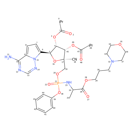 CC(C)C(=O)O[C@H]1[C@H](c2ccc3c(N)ncnn23)O[C@](C#N)(COP(=O)(NC(C)C(=O)OCCCN2CCOCC2)Oc2ccccc2)[C@H]1OC(=O)C(C)C